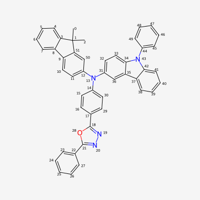 CC1(C)c2ccccc2-c2ccc(N(c3ccc(-c4nnc(-c5ccccc5)o4)cc3)c3ccc4c(c3)c3ccccc3n4-c3ccccc3)cc21